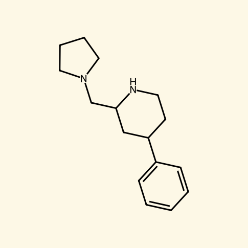 c1ccc(C2CCNC(CN3CCCC3)C2)cc1